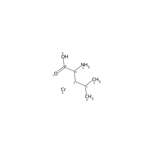 CC(C)CC(N)C(=O)O.[Cr]